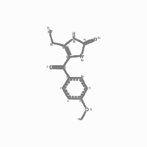 COc1ccc(C(=O)C2=C(CBr)NC(=O)[N]2)cc1